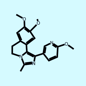 COc1ccc(-c2nc(C)n3c2-c2cc(OC)c(OC)cc2CC3)cn1